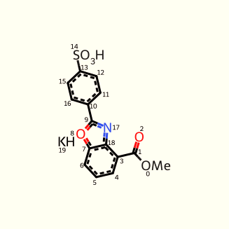 COC(=O)c1cccc2oc(-c3ccc(S(=O)(=O)O)cc3)nc12.[KH]